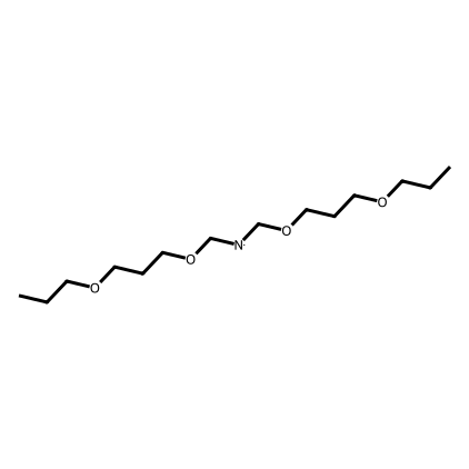 CCCOCCCOC[N]COCCCOCCC